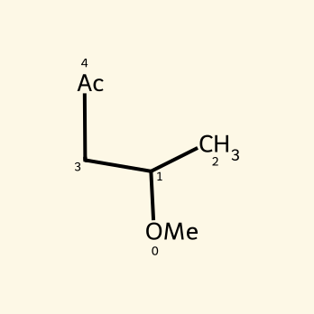 COC(C)CC(C)=O